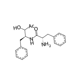 CC(=O)C(O)[C@H](Cc1ccccc1)NC(=O)[C@@H](N)Cc1ccccc1